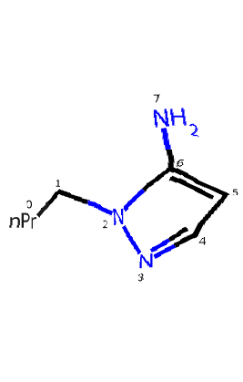 CCCCn1nccc1N